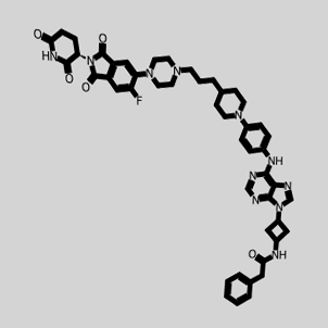 O=C1CC[C@H](N2C(=O)c3cc(F)c(N4CCN(CCCC5CCN(c6ccc(Nc7ncnc8c7ncn8C7CC(NC(=O)Cc8ccccc8)C7)cc6)CC5)CC4)cc3C2=O)C(=O)N1